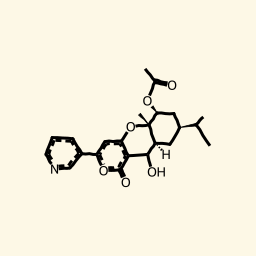 CC(=O)O[C@H]1C[C@@H](C(C)C)C[C@H]2C(O)c3c(cc(-c4cccnc4)oc3=O)O[C@]12C